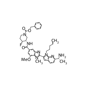 C=CCCCn1c(-c2nc3cc(C(=O)N[C@H]4CN(C(=O)OCc5ccccc5)CC[C@@H]4F)cc(OC)c3n2C)cc2ccc([C@@H](C)N)nc21